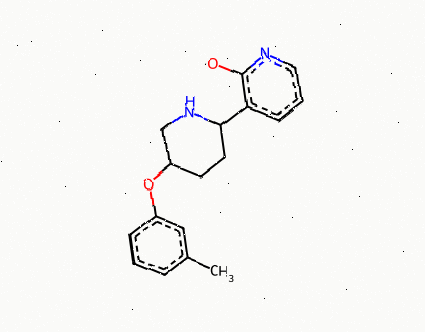 Cc1cccc(OC2CCC(c3cccnc3[O])NC2)c1